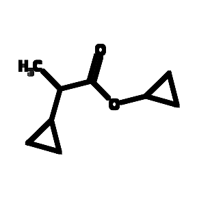 CC(C(=O)OC1CC1)C1CC1